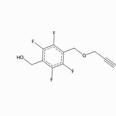 C#CCOCc1c(F)c(F)c(CO)c(F)c1F